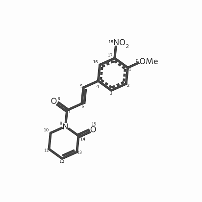 COc1ccc(/C=C/C(=O)N2CCC=CC2=O)cc1[N+](=O)[O-]